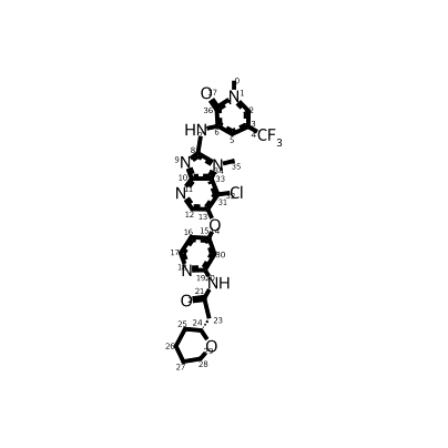 Cn1cc(C(F)(F)F)cc(Nc2nc3ncc(Oc4ccnc(NC(=O)C[C@H]5CCCCO5)c4)c(Cl)c3n2C)c1=O